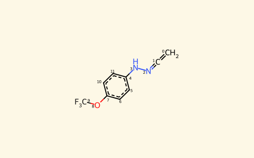 C=C=NNc1ccc(OC(F)(F)F)cc1